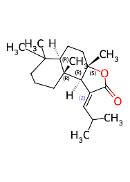 CC(C)/C=C1\C(=O)O[C@@]2(C)CC[C@@H]3C(C)(C)CCC[C@@]3(C)[C@H]12